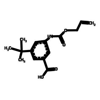 C=CCOC(=O)Nc1cc(C(=O)O)cc(C(C)(C)C)c1